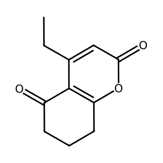 CCc1cc(=O)oc2c1C(=O)CCC2